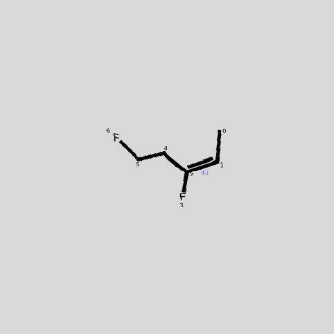 C/C=C(/F)CCF